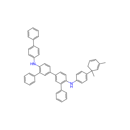 CC1=CC(C)(c2ccc(Nc3ccc(-c4ccc(Nc5ccc(-c6ccccc6)cc5)c(-c5ccccc5)c4)cc3-c3ccccc3)cc2)CC=C1